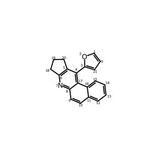 c1coc(-c2c3c(nc4ccc5ccccc5c24)CCC3)c1